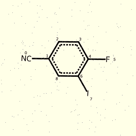 N#Cc1ccc(F)c(I)c1